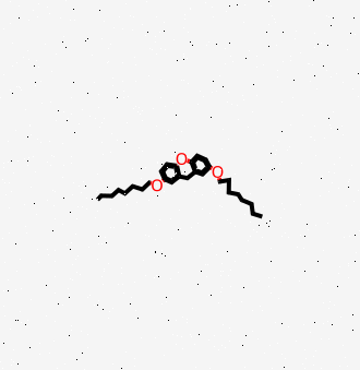 CCCCCCCCOc1ccc2c(c1)Cc1cc(OCCCCCCCC)ccc1O2